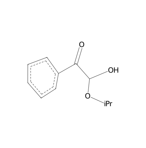 CC(C)OC(O)C(=O)c1ccccc1